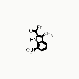 CCC(=O)c1[nH]c2c([N+](=O)[O-])cccc2c1C